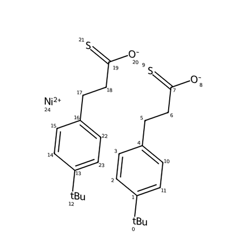 CC(C)(C)c1ccc(CCC([O-])=S)cc1.CC(C)(C)c1ccc(CCC([O-])=S)cc1.[Ni+2]